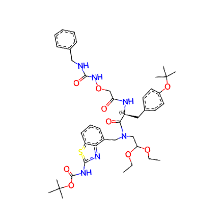 CCOC(CN(Cc1cccc2sc(NC(=O)OC(C)(C)C)nc12)C(=O)[C@H](Cc1ccc(OC(C)(C)C)cc1)NC(=O)CONC(=O)NCc1ccccc1)OCC